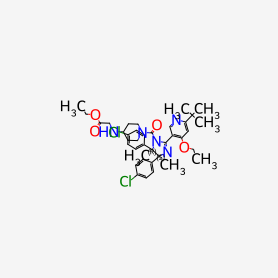 CCOC(=O)CNC1CCN(C(=O)N2C(c3cnc(C(C)(C)C)cc3OCC)=N[C@@](C)(c3ccc(Cl)cc3)[C@@]2(C)c2ccc(Cl)cc2)CC1